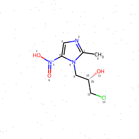 Cc1ncc([N+](=O)O)n1C[C@H](O)CCl